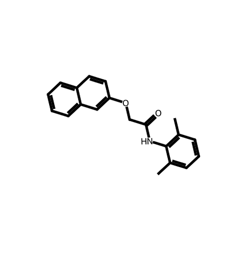 Cc1cccc(C)c1NC(=O)COc1ccc2ccccc2c1